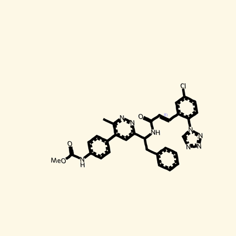 COC(=O)Nc1ccc(-c2cc(C(Cc3ccccc3)NC(=O)/C=C/c3cc(Cl)ccc3-n3cnnn3)nnc2C)cc1